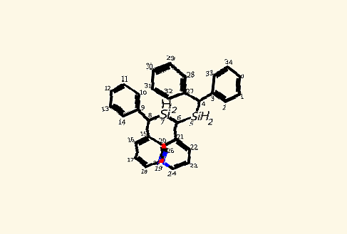 c1ccc(C([SiH2]C([SiH2]C(c2ccccc2)c2ccccc2)c2cccnc2)c2ccccc2)cc1